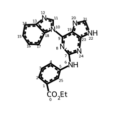 CCOC(=O)c1cccc(Nc2nc(-n3cnc4ccccc43)c3nc[nH]c3n2)c1